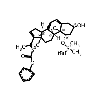 CC(SC(=O)Oc1ccccc1)C1=CC[C@H]2C3=CC=C4C[C@@H](O)C[C@H](O[Si](C)(C)C(C)(C)C)[C@]4(C)[C@H]3CC[C@]12C